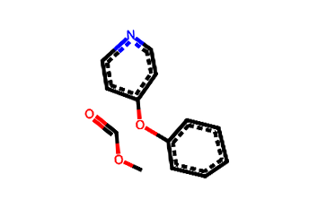 COC=O.c1ccc(Oc2ccncc2)cc1